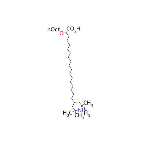 CCCCCCCCOC(CCCCCCCCCCCCCCCCC1CC(C)(C)NC(C)(C)C1)C(=O)O